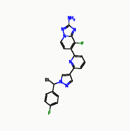 CCC(c1ccc(F)cc1)n1cc(-c2cccc(-c3ccn4nc(N)nc4c3F)n2)cn1